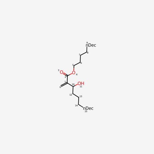 C=C(C(=O)OCCCCCCCCCCCCCC)C(O)CCCCCCCCCCCCC